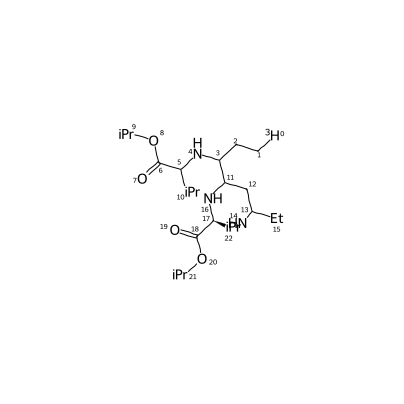 [3H]CCC(NC(C(=O)OC(C)C)C(C)C)C(CC([NH])CC)N[C@H](C(=O)OC(C)C)C(C)C